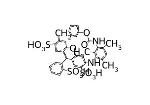 C=c1cc2c(cc1S(=O)(=O)O)=C(c1ccccc1S(=O)(=O)O)c1cc(S(=O)(=O)O)c(Nc3c(C)cc(C)c(NC(=O)Oc4ccccc4)c3C)cc1O2